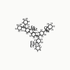 CCC1(CC)c2ccccc2-c2ccc(N(c3ccc(-c4nc5ccccc5o4)cc3)c3ccc4c(c3)C(CC)(CC)c3cc(N(c5ccccc5)c5ccccc5)ccc3-4)cc21